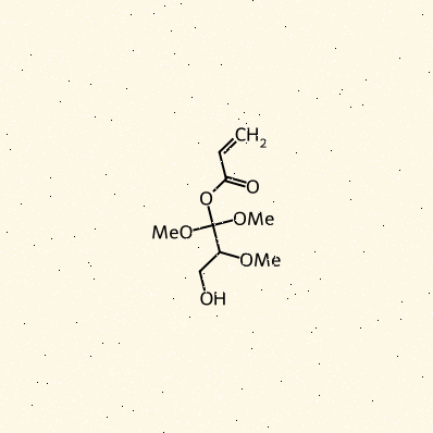 C=CC(=O)OC(OC)(OC)C(CO)OC